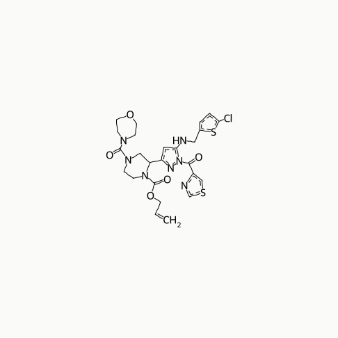 C=CCOC(=O)N1CCN(C(=O)N2CCOCC2)CC1c1cc(NCc2ccc(Cl)s2)n(C(=O)c2cscn2)n1